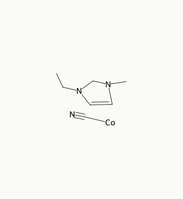 CCN1C=CN(C)C1.N#[C][Co]